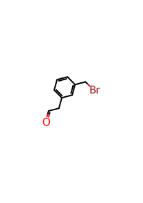 O=CCc1cccc(CBr)c1